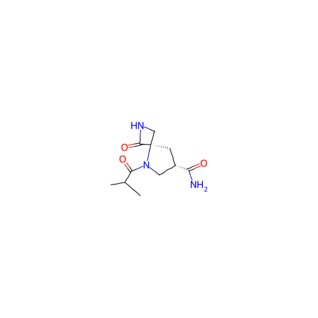 CC(C)C(=O)N1C[C@@H](C(N)=O)C[C@]12CNC2=O